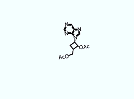 CC(=O)OC[C@H]1C[C@@H](n2cnc3cncnc32)[C@@H]1OC(C)=O